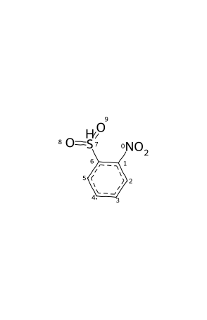 O=[N+]([O-])c1cc[c]cc1[SH](=O)=O